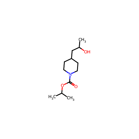 CC(O)CC1CCN(C(=O)OC(C)C)CC1